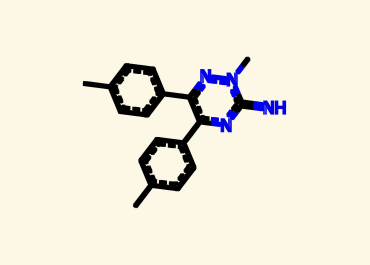 Cc1ccc(-c2nc(=N)n(C)nc2-c2ccc(C)cc2)cc1